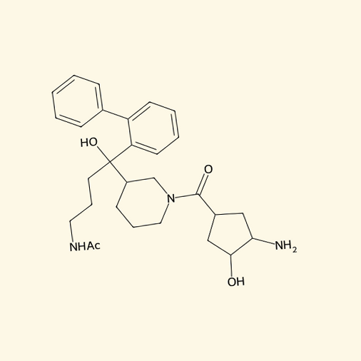 CC(=O)NCCCC(O)(c1ccccc1-c1ccccc1)C1CCCN(C(=O)C2CC(N)C(O)C2)C1